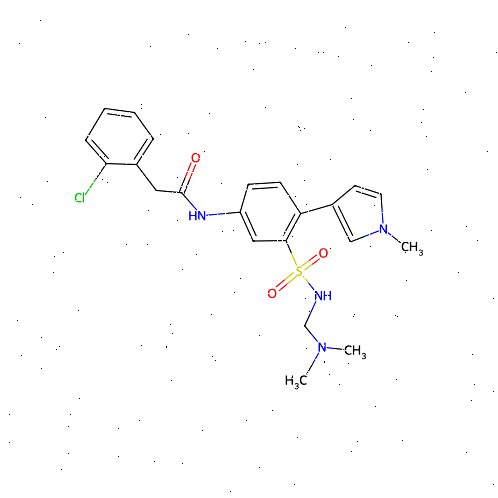 CN(C)CNS(=O)(=O)c1cc(NC(=O)Cc2ccccc2Cl)ccc1-c1ccn(C)c1